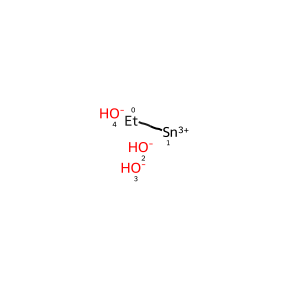 C[CH2][Sn+3].[OH-].[OH-].[OH-]